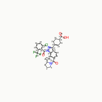 C[C@@H]1CCCN1C(=O)c1ccc2c(C3=CCC(C(=O)O)CC3)nn(C(=O)c3c(Cl)cccc3C(F)(F)F)c2c1